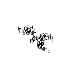 CC(C)(C)OC(=O)NCC[C@@H]1CC(F)(F)CN1C[C@H]1O[C@@H](c2ccc3c(N)ncnn23)[C@@H]2OC(C)(C)OC[C@@H]21